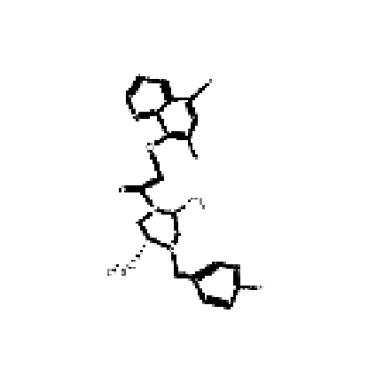 C[C@@H]1CN(C(=O)COc2c(I)cc(I)c3cccnc23)[C@@H](C)CN1Cc1ccc(F)cc1